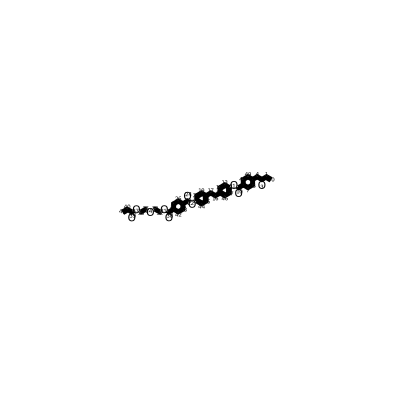 C=CC(=O)CC1CCC(C(=O)Oc2ccc(CCc3ccc(OC(=O)C4CCC(C(=O)OCCOCCOC(=O)C=C)CC4)cc3)cc2)CC1